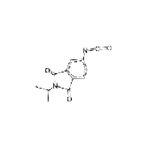 CC(C)N1C(=O)c2ccc(N=C=O)cc2C1=O